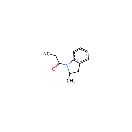 CC1Cc2ccccc2N1C(=O)CC#N